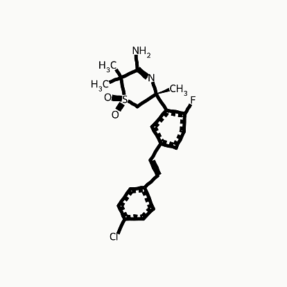 CC1(C)C(N)=N[C@](C)(c2cc(/C=C/c3ccc(Cl)cc3)ccc2F)CS1(=O)=O